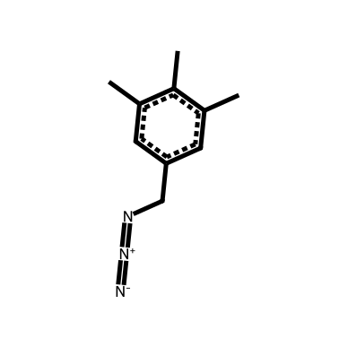 Cc1cc(CN=[N+]=[N-])cc(C)c1C